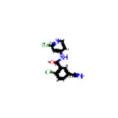 N#Cc1ccc(Cl)c(C(=O)Nc2ccnc(Br)c2)c1